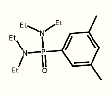 CCN(CC)P(=O)(c1cc(C)cc(C)c1)N(CC)CC